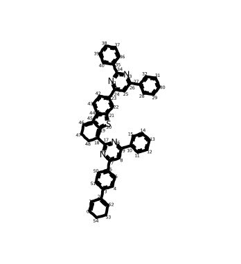 C1=CC(c2ccc(-c3cc(-c4ccccc4)nc(C4=c5sc6cc(-c7cc(-c8ccccc8)nc(-c8ccccc8)n7)ccc6c5=CCC4)n3)cc2)=CCC1